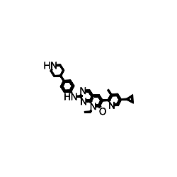 CCn1c(=O)c(-c2ncc(C3CC3)cc2C)cc2cnc(Nc3ccc(C4CCNCC4)cc3)nc21